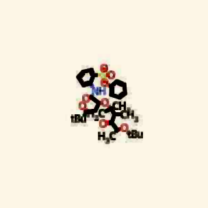 CC(OC(C)(C)C)C(=O)C(C)C(C)(C)OC(CC(=O)C(C)(C)C)C(=O)Nc1ccccc1S(=O)(=O)Oc1ccccc1